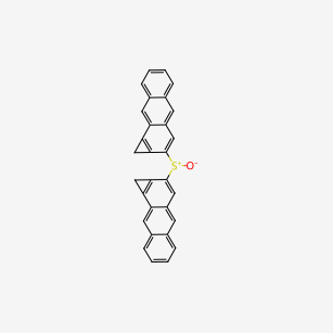 [O-][S+](c1cc2cc3ccccc3cc2c2c1C2)c1cc2cc3ccccc3cc2c2c1C2